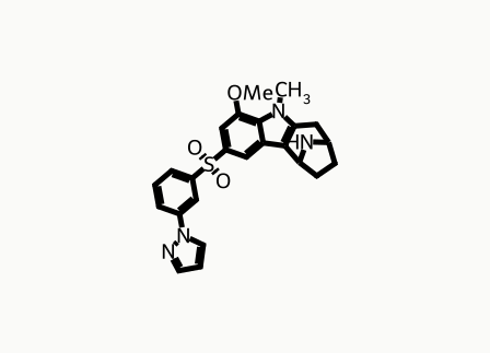 COc1cc(S(=O)(=O)c2cccc(-n3cccn3)c2)cc2c3c(n(C)c12)CC1CCC3N1